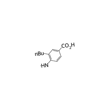 CCCCc1cc(C(=O)O)ccc1[NH]